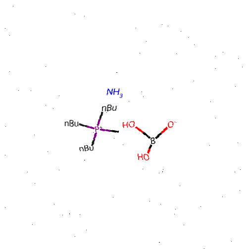 CCCC[P+](C)(CCCC)CCCC.N.[O-]B(O)O